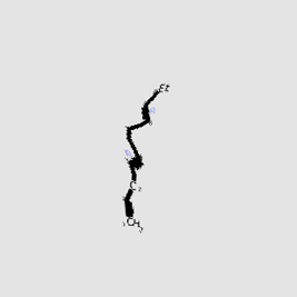 C=CC/C=C/C/C=C/CC